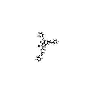 O=c1c(O)c(-c2ccc(OCc3ccccc3)cc2)oc2cc(OCc3ccccc3)cc(OCc3ccccc3)c12